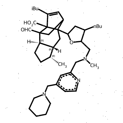 CCCCC1CC(C23C[C@@H]4[C@H](C)CC[C@H]4C4(C=O)CC2C=C(C(C)CC)C34C(=O)O)OC1CN(C)Cc1cc(CN2CCCCC2)ccn1